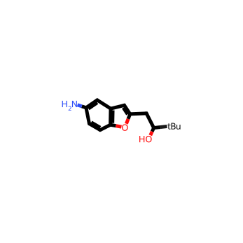 CC(C)(C)C(O)Cc1cc2cc(N)ccc2o1